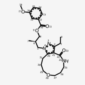 CCc1nn(C[C@@H](C)COC(=O)c2cccc(OC)c2)c2c1C(=O)NCCCOCCC2